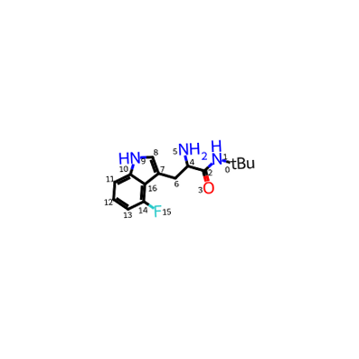 CC(C)(C)NC(=O)C(N)Cc1c[nH]c2cccc(F)c12